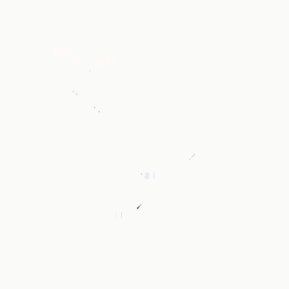 C[C@@H](NC[C@@H]1CN(NC(=O)O)C[C@@H]1c1ccccc1)c1cccc2ccccc12.Cl